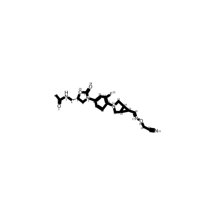 CC(=O)NC[C@H]1CN(c2ccc(N3CC4C(C=NOCC#N)C4C3)c(F)c2)C(=O)O1